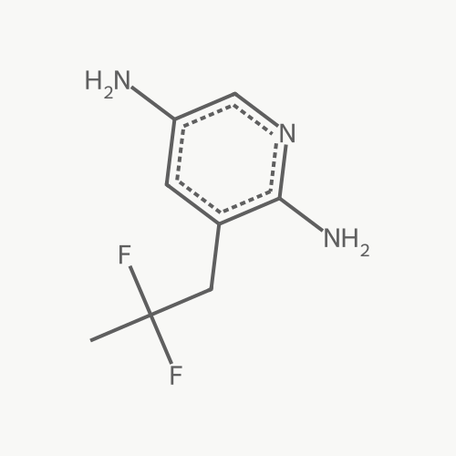 CC(F)(F)Cc1cc(N)cnc1N